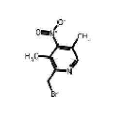 Cc1cnc(CBr)c(C)c1[N+](=O)[O-]